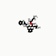 CC(C)(O)CC[C@H](C[C@H](OC(=O)[C@@H](N)CCC(N)=O)[C@H](Cc1cccc(F)c1)NC(=O)c1cnc2ccccc2n1)C(N)=O